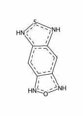 c1c2[nH]o[nH]c2cc2[nH]s[nH]c12